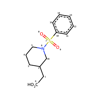 O=C(O)CC1CCCN(S(=O)(=O)c2ccccc2)C1